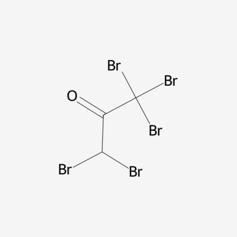 O=C(C(Br)Br)C(Br)(Br)Br